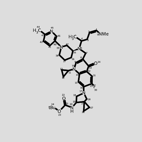 CN/C=C\CC(C)N(Cc1cn(C2CC2)c2cc(N3CC(NC(=O)OC(C)(C)C)C4(CC4)C3)c(F)cc2c1=O)[C@H]1CCCN(c2ccc(C)nc2)C1